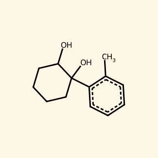 Cc1ccccc1C1(O)CCCCC1O